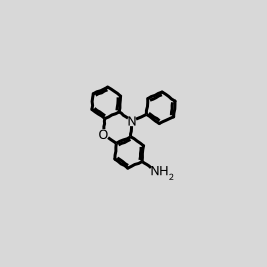 Nc1ccc2c(c1)N(c1ccccc1)c1ccccc1O2